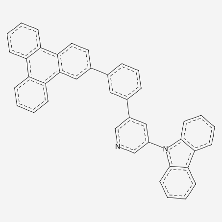 c1cc(-c2cncc(-n3c4ccccc4c4ccccc43)c2)cc(-c2ccc3c4ccccc4c4ccccc4c3c2)c1